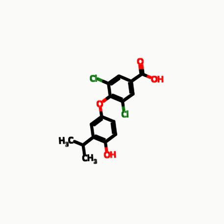 CC(C)c1cc(Oc2c(Cl)cc(C(=O)O)cc2Cl)ccc1O